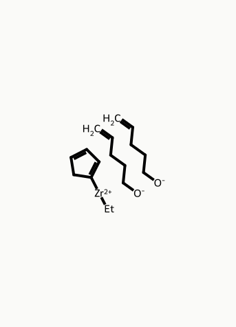 C=CCCC[O-].C=CCCC[O-].C[CH2][Zr+2][C]1=CC=CC1